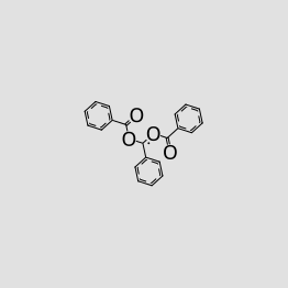 O=C(O[C](OC(=O)c1ccccc1)c1ccccc1)c1ccccc1